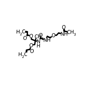 C=CC(=O)OCC(C)(COC(=O)C=C)NC(=O)NCCOCCNC(C)=O